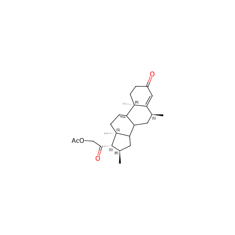 CC(=O)OCC(=O)[C@H]1[C@H](C)CC2C3C[C@H](C)C4=CC(=O)CC[C@]4(C)C3=CC[C@@]21C